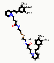 COc1cc(/C=C/c2cccc[n+]2CCCC(=O)NCCSSCCNC(=O)CCC[n+]2ccccc2/C=C/c2cc(OC)c(OC)c(OC)c2)cc(OC)c1OC